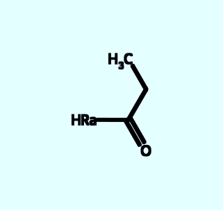 CC[C](=O)[RaH]